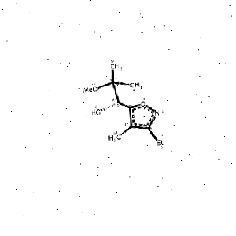 CCc1noc([C@H](O)C(C)(C)OC)c1C